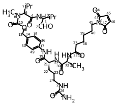 CC(C)C(C=O)NC(=O)C(C(C)C)N(C)C(=O)OCc1ccc(NC(=O)[C@H](CCCNC(N)=O)NC(=O)[C@H](C)NC(=O)CCCCCN2C(=O)C=CC2=O)cc1